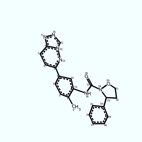 Cc1ccc(-c2ccc3nncn3n2)cc1NC(=O)N1OCCC1c1ccccc1